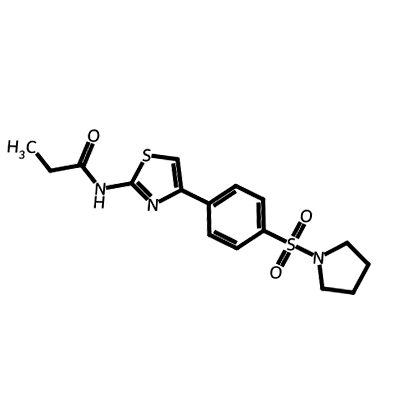 CCC(=O)Nc1nc(-c2ccc(S(=O)(=O)N3CCCC3)cc2)cs1